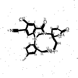 N#Cc1cc2c(cc1Cl)C(=O)N1CN2c2ccc(F)cc2CNCCc2[nH]c(=O)ccc21